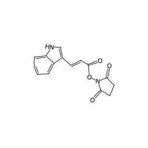 O=C(C=Cc1c[nH]c2ccccc12)ON1C(=O)CCC1=O